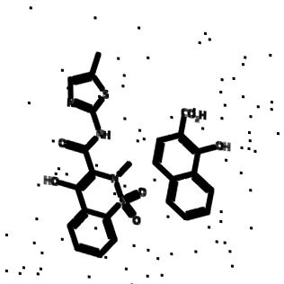 Cc1cnc(NC(=O)C2=C(O)c3ccccc3S(=O)(=O)N2C)s1.O=C(O)c1ccc2ccccc2c1O